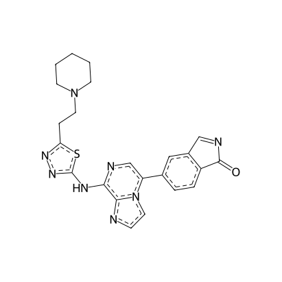 O=C1N=Cc2cc(-c3cnc(Nc4nnc(CCN5CCCCC5)s4)c4nccn34)ccc21